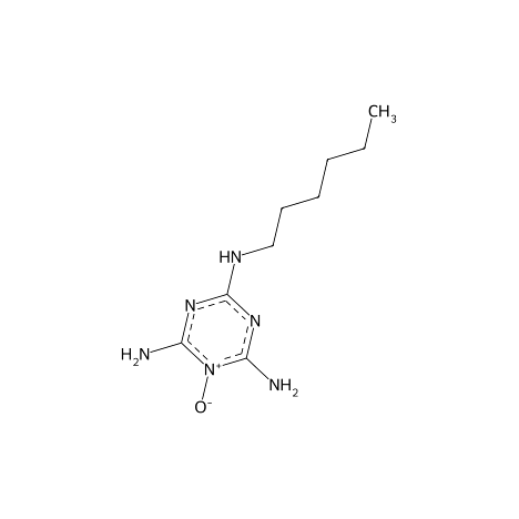 CCCCCCNc1nc(N)[n+]([O-])c(N)n1